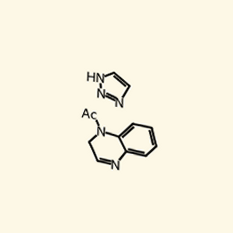 CC(=O)N1CC=Nc2ccccc21.c1c[nH]nn1